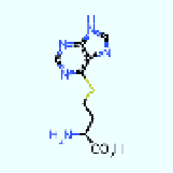 N[C@@H](CCSc1ncnc2[nH]cnc12)C(=O)O